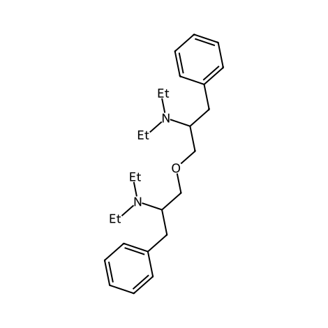 CCN(CC)C(COCC(Cc1ccccc1)N(CC)CC)Cc1ccccc1